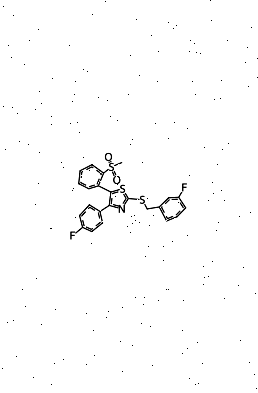 CS(=O)(=O)c1ccccc1-c1sc(SCc2cccc(F)c2)nc1-c1ccc(F)cc1